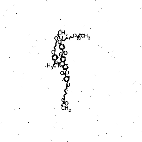 C=CC(=O)OCCCCCCOc1ccc(C(=O)Oc2ccc3c(c2)nc(N(C)c2ccc(OCCCCCOC(=O)C=C)cc2)c2cc(OC(=O)c4ccc(OCCCCCCOC(=O)C=C)cc4)ccc23)cc1